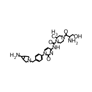 CC1CN(C(=O)C(N)CO)CCN1C(=O)Nc1ccn(-c2ccc(CN3CC4C(N)C4C3)cc2)c(=O)n1